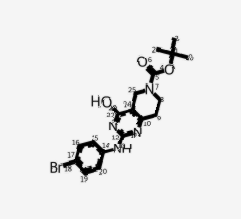 CC(C)(C)OC(=O)N1CCc2nc(Nc3ccc(Br)cc3)nc(O)c2C1